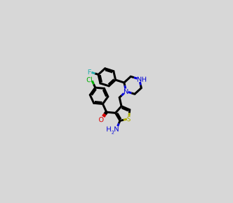 Nc1scc(CN2CCNCC2c2ccc(F)cc2)c1C(=O)c1ccc(Cl)cc1